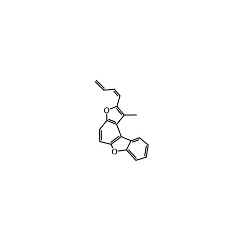 C=C/C=C\c1oc2ccc3oc4ccccc4c3c2c1C